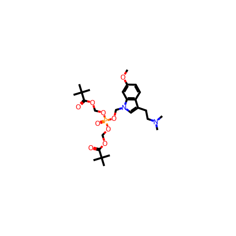 COc1ccc2c(CCN(C)C)cn(COP(=O)(OCOC(=O)C(C)(C)C)OCOC(=O)C(C)(C)C)c2c1